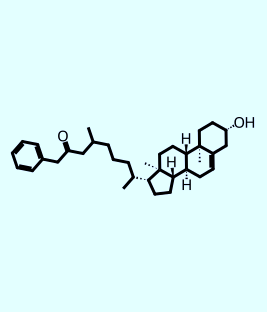 CC(CCCC(C)[C@H]1CC[C@H]2[C@@H]3CC=C4C[C@@H](O)CC[C@]4(C)[C@H]3CC[C@]12C)CC(=O)Cc1ccccc1